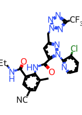 CCNC(=O)c1cc(C#N)cc(C)c1NC(=O)c1cc(Cn2nnc(C(F)(F)F)n2)nn1-c1ncccc1Cl